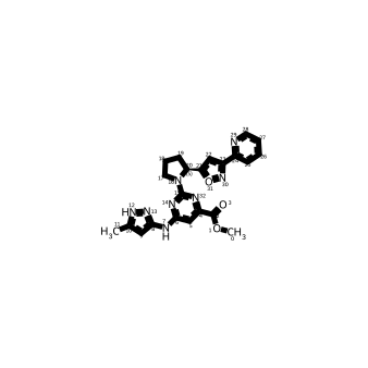 COC(=O)c1cc(Nc2cc(C)[nH]n2)nc(N2CCC[C@H]2c2cc(-c3ccccn3)no2)n1